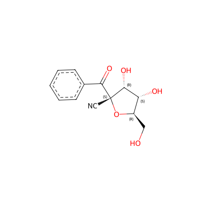 N#C[C@]1(C(=O)c2ccccc2)O[C@H](CO)[C@@H](O)[C@H]1O